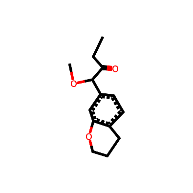 CCC(=O)C(OC)c1ccc2c(c1)OCCC2